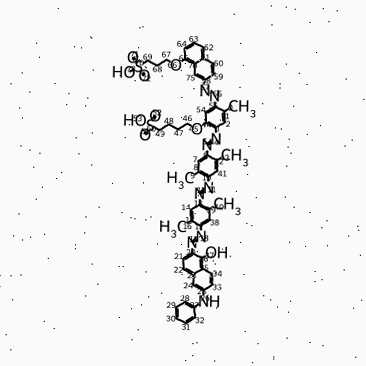 Cc1cc(N=Nc2cc(C)c(N=Nc3cc(C)c(N=Nc4ccc5cc(Nc6ccccc6)ccc5c4O)cc3C)cc2C)c(OCCCCS(=O)(=O)O)cc1N=Nc1ccc2cccc(OCCCS(=O)(=O)O)c2c1